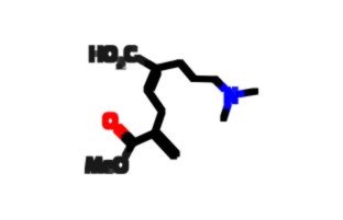 C=C(CC=C(CCCN(C)C)C(=O)O)C(=O)OC